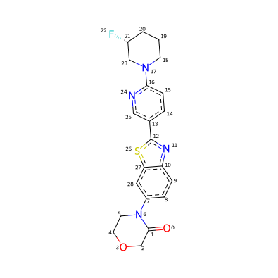 O=C1COCCN1c1ccc2nc(-c3ccc(N4CCC[C@@H](F)C4)nc3)sc2c1